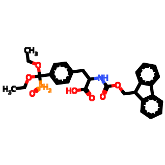 CCOC(OCC)([PH2]=O)c1ccc(CC(NC(=O)OCC2c3ccccc3-c3ccccc32)C(=O)O)cc1